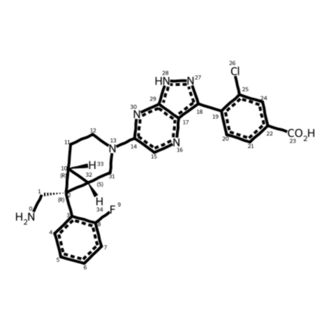 NC[C@]1(c2ccccc2F)[C@@H]2CCN(c3cnc4c(-c5ccc(C(=O)O)cc5Cl)n[nH]c4n3)C[C@@H]21